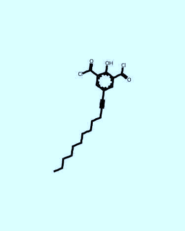 CCCCCCCCCCC#Cc1cc(C(=O)Cl)c(O)c(C(=O)Cl)c1